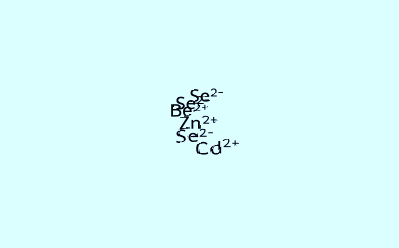 [Be+2].[Cd+2].[Se-2].[Se-2].[Se-2].[Zn+2]